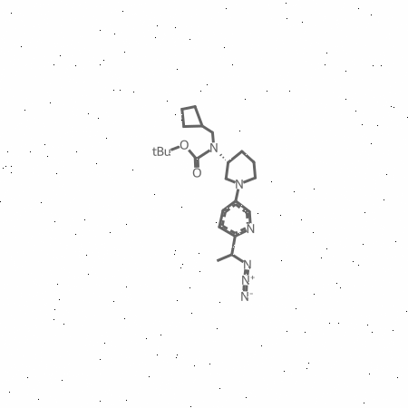 CC(N=[N+]=[N-])c1ccc(N2CCC[C@@H](N(CC3CCC3)C(=O)OC(C)(C)C)C2)cn1